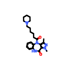 Cc1nn(C)c2c1N(C(=O)CCCCCN1CCCCC1)c1ccccc1NC2=O